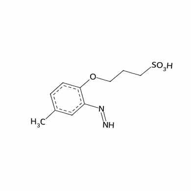 Cc1ccc(OCCCS(=O)(=O)O)c(N=N)c1